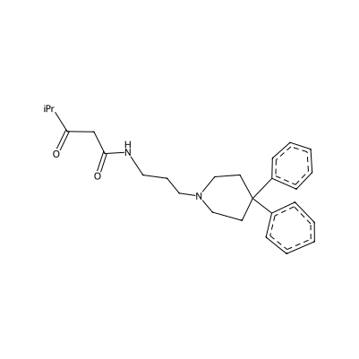 CC(C)C(=O)CC(=O)NCCCN1CCC(c2ccccc2)(c2ccccc2)CC1